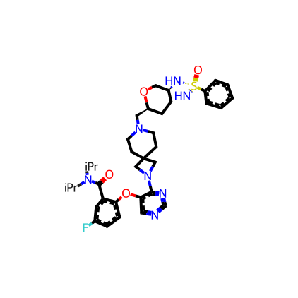 CC(C)N(C(=O)c1cc(F)ccc1Oc1cncnc1N1CC2(CCN(C[C@@H]3CC[C@@H](N[S@](=N)(=O)c4ccccc4)CO3)CC2)C1)C(C)C